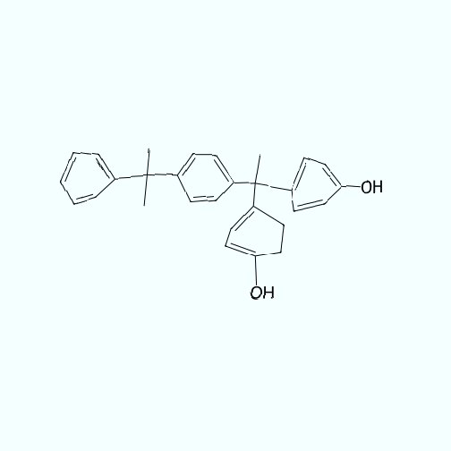 CC(C)(c1ccccc1)c1ccc(C(C)(C2=CC=C(O)CC2)c2ccc(O)cc2)cc1